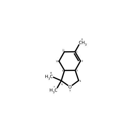 CC1=CC2COC(C)(C)C2CC1